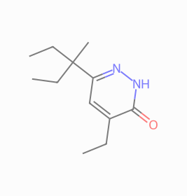 CCc1cc(C(C)(CC)CC)n[nH]c1=O